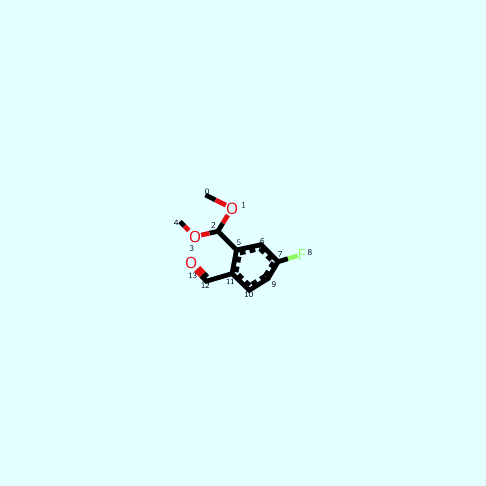 COC(OC)c1cc(F)ccc1C=O